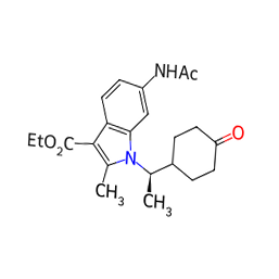 CCOC(=O)c1c(C)n([C@H](C)C2CCC(=O)CC2)c2cc(NC(C)=O)ccc12